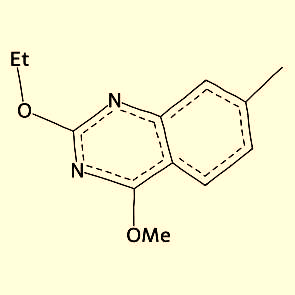 CCOc1nc(OC)c2ccc(C)cc2n1